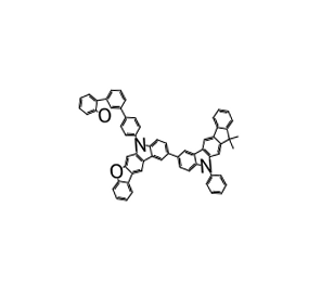 CC1(C)c2ccccc2-c2cc3c4cc(-c5ccc6c(c5)c5cc7c(cc5n6-c5ccc(-c6cccc8c6oc6ccccc68)cc5)oc5ccccc57)ccc4n(-c4ccccc4)c3cc21